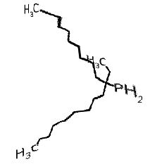 CCCCCCCCCC(P)(CC)CCCCCCCCC